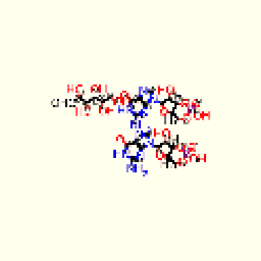 Nc1nc2c(ncn2[C@@H]2O[C@@H]3COP(=O)(O)O[C@H]3[C@H]2O)c(=O)[nH]1.Nc1nc2c(ncn2[C@@H]2O[C@@H]3COP(=O)(O)O[C@H]3[C@H]2O)c(=O)[nH]1.O=C[C@H](O)[C@@H](O)[C@H](O)[C@H](O)CO